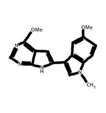 COc1ccc2c(c1)c(-c1cc3c(OC)ncnc3[nH]1)cn2C